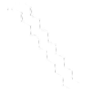 CCCCCC=CCC=CCCCCCCCC(=O)O.CCCCCC=CCC=CCCCCCCCC(=O)O